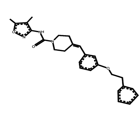 Cc1onc(NC(=O)N2CCC(=Cc3cccc(OCCc4ccccc4)c3)CC2)c1C